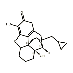 O=C1CC2=C3C(=C1O)OC1CCC[C@@]4(O)[C@@H](C2)N(CC2CC2)CC[C@]314